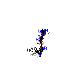 C[C@H](CCC(=O)NCCNC(=S)Nc1ccc(CC2CN(CC(=O)O)CCN(CC(=O)O)CCN2CC(=O)O)cc1)NC(=O)c1ccc(NCc2cnc3nc(N)[nH]c(=O)c3n2)cc1